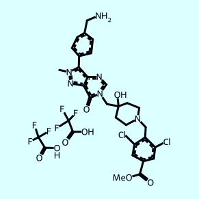 COC(=O)c1cc(Cl)c(CN2CCC(O)(Cn3cnc4c(-c5ccc(CN)cc5)n(C)nc4c3=O)CC2)c(Cl)c1.O=C(O)C(F)(F)F.O=C(O)C(F)(F)F